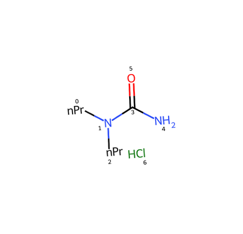 CCCN(CCC)C(N)=O.Cl